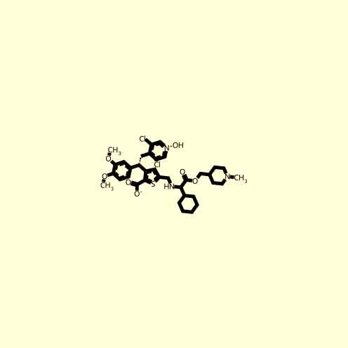 COc1ccc([C@H](Cc2c(Cl)c[n+](O)cc2Cl)c2cc(CNC(C(=O)OCC3CCN(C)CC3)C3CCCCC3)sc2C(=O)[O-])cc1OC